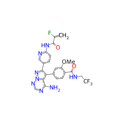 C=C(F)C(=O)Nc1ccc(-c2nn3ncnc(N)c3c2-c2ccc(C(=O)NCC(F)(F)F)c(OC)c2)cn1